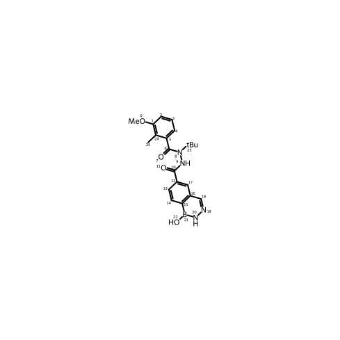 COc1cccc(C(=O)N(NC(=O)c2ccc3c(c2)C=NNB3O)C(C)(C)C)c1C